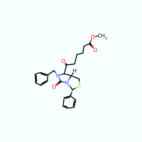 COC(=O)CCCCC(=O)C1[C@@H]2CS[C@@H](c3ccccc3)N2C(=O)N1Cc1ccccc1